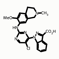 COc1cc2c(cc1Nc1ncc(Cl)c(-n3nc(C(=O)O)c4ccccc43)n1)CN(C)CC2